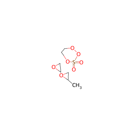 C1CO1.CC1CO1.O=S1(=O)OCCOO1